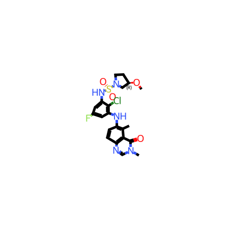 CO[C@@H]1CCN(S(=O)(=O)Nc2cc(F)cc(Nc3ccc4ncn(C)c(=O)c4c3C)c2Cl)C1